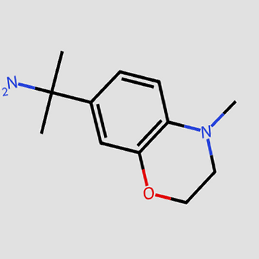 CN1CCOc2cc(C(C)(C)N)ccc21